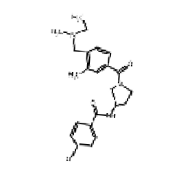 CCN(C)Cc1ccc(C(=O)N2CC[C@@H](NC(=O)c3ccc(Cl)cc3)C2)cc1C